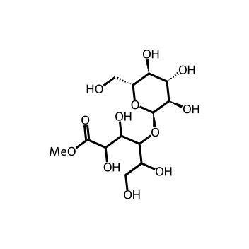 COC(=O)C(O)C(O)C(O[C@H]1O[C@H](CO)[C@@H](O)[C@H](O)[C@H]1O)C(O)CO